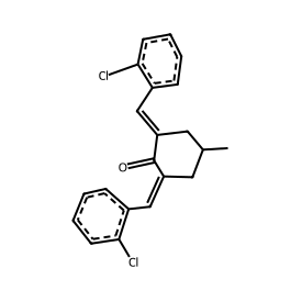 CC1CC(=Cc2ccccc2Cl)C(=O)C(=Cc2ccccc2Cl)C1